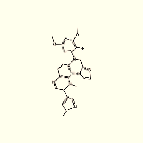 COc1cc(OC)c(F)c(N(Cc2ncc[nH]2)c2ccc3c(n2)N(C)C(c2cnn(C)c2)C=N3)c1